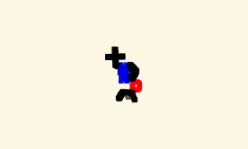 CC[C@H](C)Oc1ccn(CC(C)(C)C)n1